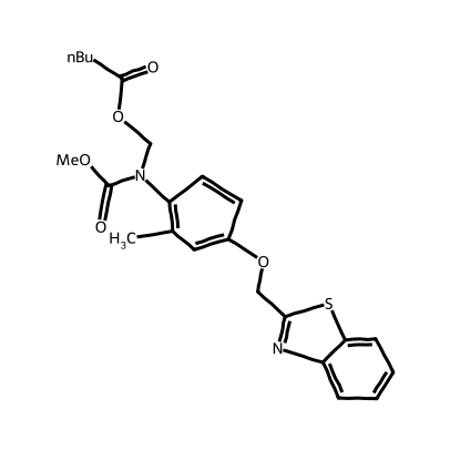 CCCCC(=O)OCN(C(=O)OC)c1ccc(OCc2nc3ccccc3s2)cc1C